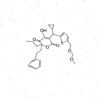 CCCC1(CCc2ccccc2)OC(=O)C(C(c2ccc(COCOC)s2)C2CC2)=C(O)C1=O